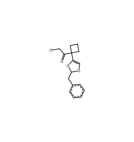 O=C(CCl)C1(C2=COC(Cc3ccccc3)O2)CCC1